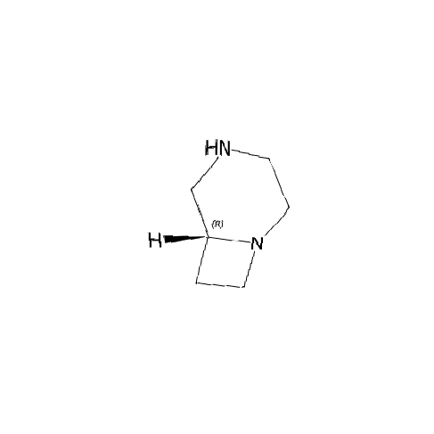 C1CN2CC[C@@H]2CN1